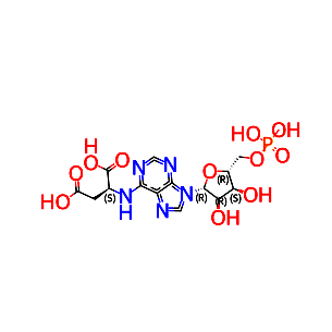 O=C(O)C[C@H](Nc1ncnc2c1ncn2[C@@H]1O[C@H](COP(=O)(O)O)[C@@H](O)[C@H]1O)C(=O)O